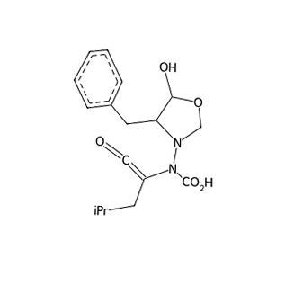 CC(C)CC(=C=O)N(C(=O)O)N1COC(O)C1Cc1ccccc1